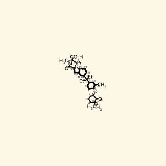 CCC(CC)(c1ccc(OC2CCCC(C)(C)C2=O)c(C)c1)c1ccc2oc(C(=O)N(C)C(C(=O)O)C(C)C)cc2c1